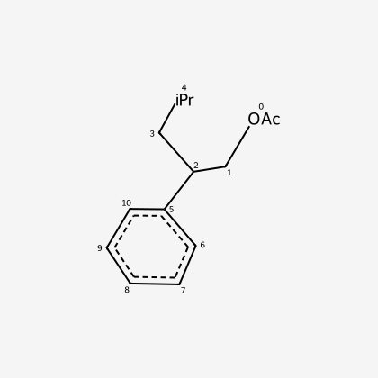 CC(=O)OCC(CC(C)C)c1ccccc1